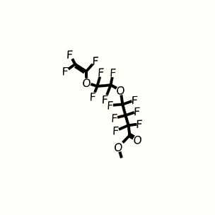 COC(=O)C(F)(F)C(F)(F)C(F)(F)OC(F)(F)C(F)(F)OC(F)=C(F)F